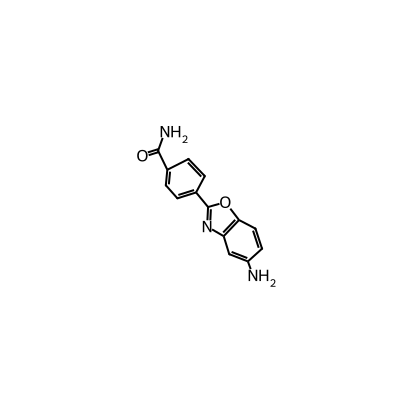 NC(=O)c1ccc(-c2nc3cc(N)ccc3o2)cc1